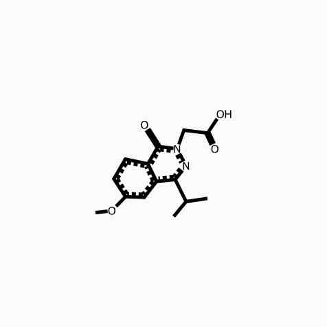 COc1ccc2c(=O)n(CC(=O)O)nc(C(C)C)c2c1